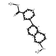 COC(=O)c1cncc(-c2ccc3cc(OC)ccc3c2)c1